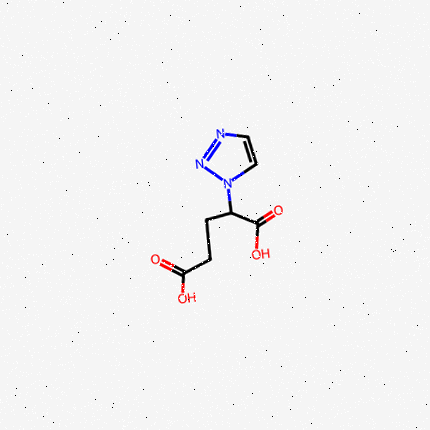 O=C(O)CCC(C(=O)O)n1ccnn1